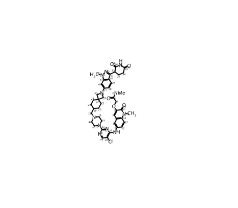 CNC(=O)COc1cc2cc(Nc3nc(N4CCN(CC5CCC6(CC5)CN(c5ccc7c(C8CCC(=O)NC8=O)nn(C)c7c5)C6)CC4)ncc3Cl)ccc2n(C)c1=O